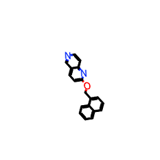 c1ccc2c(COc3ccc4cnccc4n3)cccc2c1